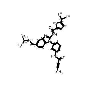 CC#CC(=O)Nc1cccc(-n2c(NC(=O)c3ccc(C(F)F)s3)nc3cc(CN[C@@H](C)C(C)(C)C)ccc32)c1